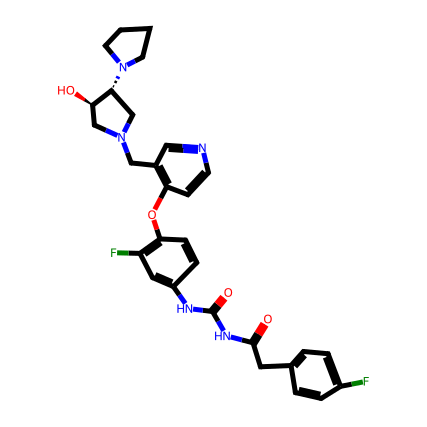 O=C(Cc1ccc(F)cc1)NC(=O)Nc1ccc(Oc2ccncc2CN2C[C@@H](O)[C@H](N3CCCC3)C2)c(F)c1